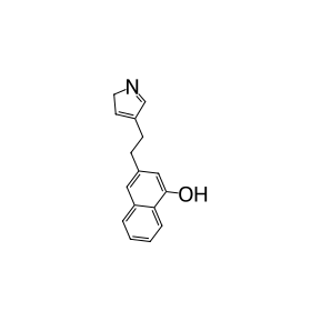 Oc1cc(CCC2=CCN=C2)cc2ccccc12